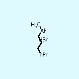 Br.CCCCC[CH2][Al][CH3]